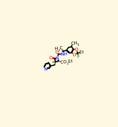 CCOC(=O)[C@@H]1[C@@H](Cc2cccnc2)C(=O)N1C(=O)N[C@H](C)C1=CC2=C(OC(F)(CC)O2)C(C)C1